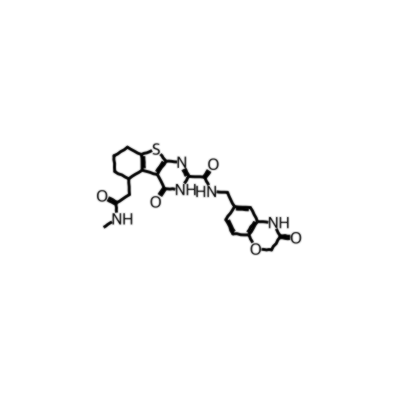 CNC(=O)CC1CCCc2sc3nc(C(=O)NCc4ccc5c(c4)NC(=O)CO5)[nH]c(=O)c3c21